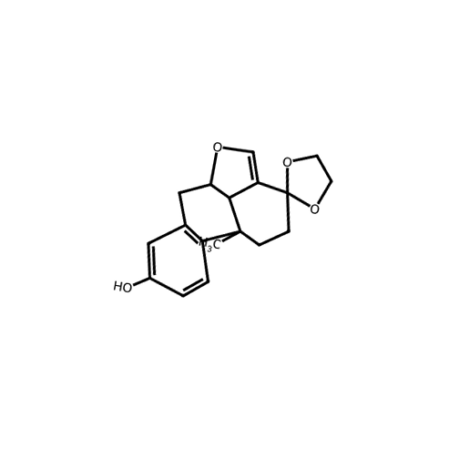 CC12CCC3(OCCO3)C3=COC(Cc4cc(O)ccc41)C32